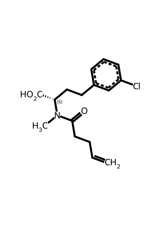 C=CCCC(=O)N(C)[C@@H](CCc1cccc(Cl)c1)C(=O)O